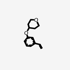 C=Cc1cccc(OC2CCOCC2)c1